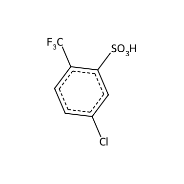 O=S(=O)(O)c1cc(Cl)ccc1C(F)(F)F